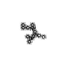 c1ccc(-c2ccc(-n3c4ccc(-c5nc(-c6ccc(-c7cccc8ccccc78)cc6)c6ccccc6n5)cc4c4cc5c(cc(-c6ccccc6)n5-c5ccccc5)cc43)cc2)cc1